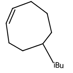 C[CH]C(C)C1CCC=CCCC1